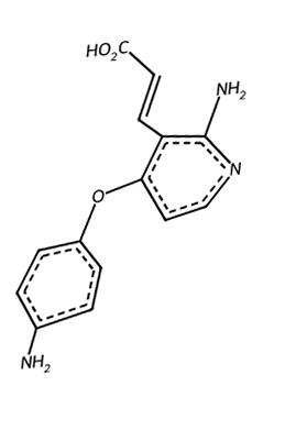 Nc1ccc(Oc2ccnc(N)c2C=CC(=O)O)cc1